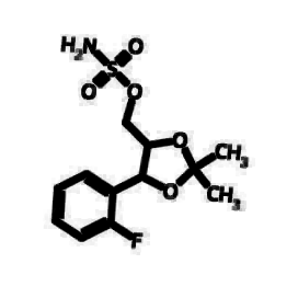 CC1(C)OC(COS(N)(=O)=O)C(c2ccccc2F)O1